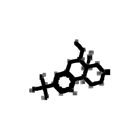 CCN1Cc2cc(C(F)(F)F)cnc2N2CCNC[C@H]12